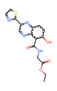 CCOC(=O)CNC(=O)c1c(O)ccc2nc(-c3nccs3)cnc12